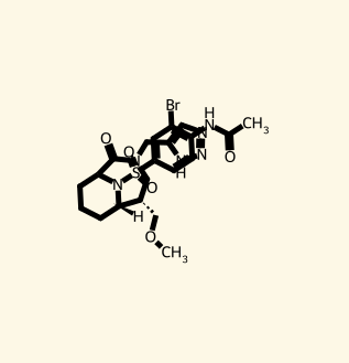 COC[C@H]1CN(Cc2cnn[nH]2)C(=O)C2CCC[C@@H]1N2S(=O)(=O)c1ccc(NC(C)=O)c(Br)c1